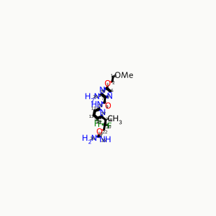 COCCOc1cnc(C(=O)Nc2ccc(F)c([C@H](C)C(F)(F)COC(=N)N)n2)c(N)n1